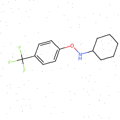 FC(F)(F)c1ccc(ONC2CCCCC2)cc1